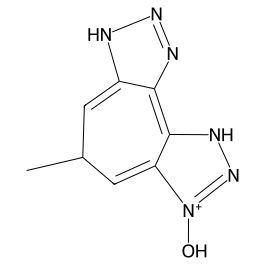 CC1C=c2[nH]nnc2=c2[nH]n[n+](O)c2=C1